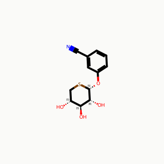 N#Cc1cccc(O[C@H]2SC[C@@H](O)[C@H](O)[C@H]2O)c1